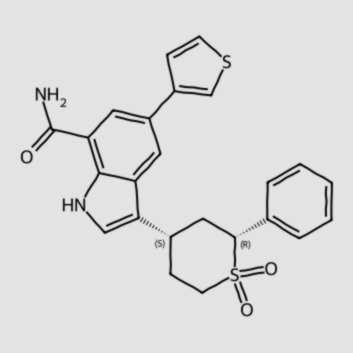 NC(=O)c1cc(-c2ccsc2)cc2c([C@H]3CCS(=O)(=O)[C@@H](c4ccccc4)C3)c[nH]c12